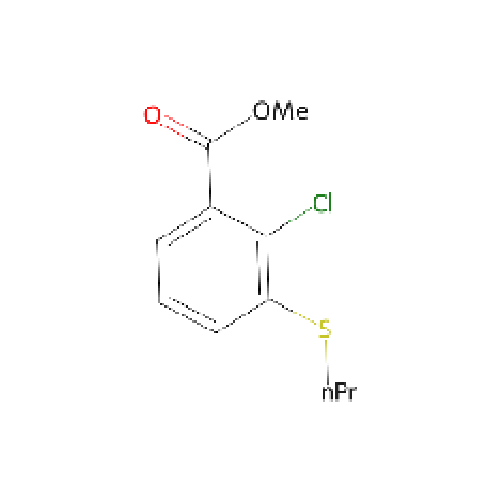 CCCSc1cccc(C(=O)OC)c1Cl